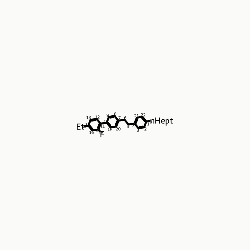 CCCCCCCc1ccc(CCc2ccc(-c3ccc(CC)cc3F)cc2)cc1